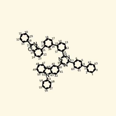 c1ccc(-c2ccc(-c3nc(-c4cccc(-c5cccc(-c6cccc7oc(-c8ccccc8)nc67)c5)c4)nc(-c4ccc5c(c4)c4ccccc4n5-c4ccccc4)n3)cc2)cc1